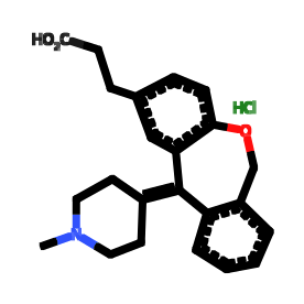 CN1CCC(=C2c3ccccc3COc3ccc(CCC(=O)O)cc32)CC1.Cl